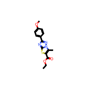 CCOC(=O)c1sc2nc(-c3ccc(OC)cc3)nn2c1C